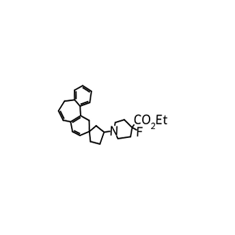 CCOC(=O)C1(F)CCN(C2CCC3(C=CC4=C(C3)c3ccccc3CC=C4)C2)CC1